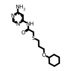 Nc1cc(NC(=O)CSCCCOC2CCCCC2)ncn1